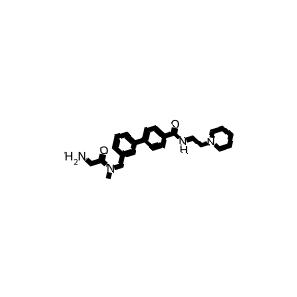 CN(Cc1cccc(-c2ccc(C(=O)NCCN3CCCCC3)cc2)c1)C(=O)CN